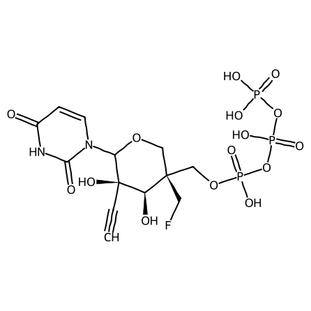 C#C[C@]1(O)C(n2ccc(=O)[nH]c2=O)OC[C@](CF)(COP(=O)(O)OP(=O)(O)OP(=O)(O)O)[C@H]1O